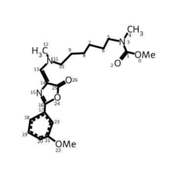 COC(=O)N(C)CCCCCCN(C)C=C1N=C(c2cccc(OC)c2)OC1=O